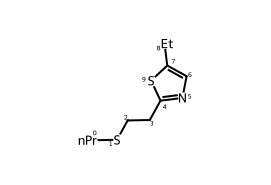 CCCSCCc1ncc(CC)s1